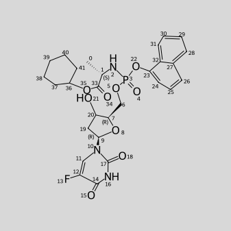 C[C@H](NP(=O)(OC[C@H]1O[C@@H](n2cc(F)c(=O)[nH]c2=O)CC1O)Oc1cccc2ccccc12)C(=O)OC1CCCCC1